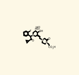 Cl.Cl.O=C(O)CN1CCN(C/C=C2\CN(C(C(=O)C3CC3)c3ccccc3F)CCC2S)CC1=O